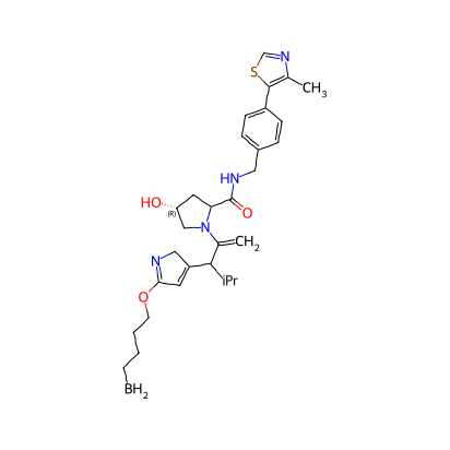 BCCCCOC1=NCC(C(C(=C)N2C[C@H](O)CC2C(=O)NCc2ccc(-c3scnc3C)cc2)C(C)C)=C1